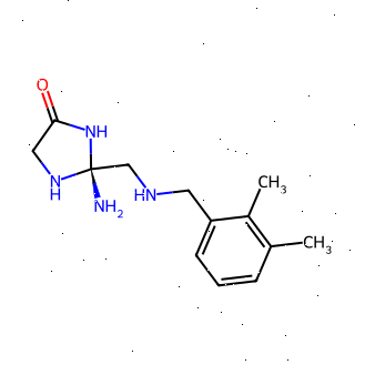 Cc1cccc(CNC[C@]2(N)NCC(=O)N2)c1C